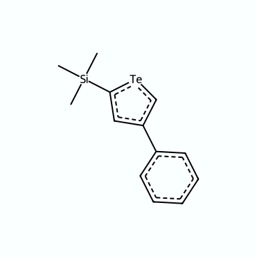 C[Si](C)(C)c1cc(-c2ccccc2)c[te]1